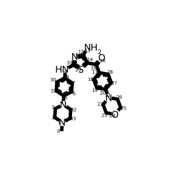 CN1CCN(c2ccc(Nc3nc(N)c(C(=O)c4ccc(N5CCOCC5)cc4)s3)cc2)CC1